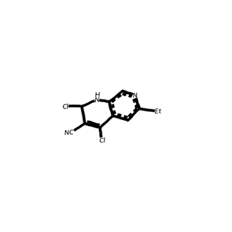 CCc1cc2c(cn1)NC(Cl)C(C#N)=C2Cl